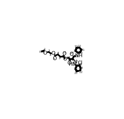 C=COCCOC(=O)CCC(=O)OCC(=O)/C(=N\Nc1ccccc1Cl)C(=O)Nc1ccccc1